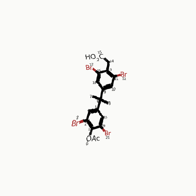 CC(=O)Oc1c(Br)cc(C(C)(C)c2cc(Br)c(CC(=O)O)c(Br)c2)cc1Br